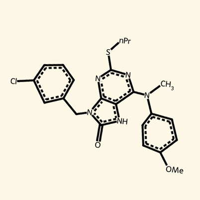 CCCSc1nc(N(C)c2ccc(OC)cc2)c2[nH]c(=O)n(Cc3cccc(Cl)c3)c2n1